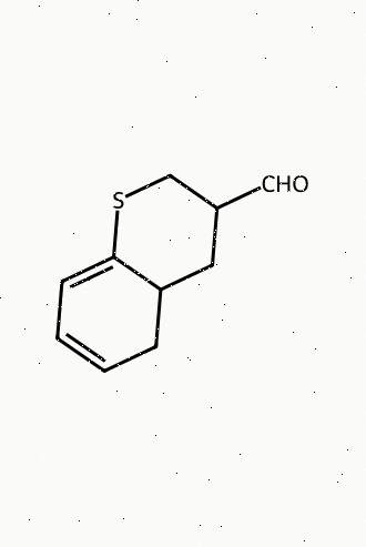 O=CC1CSC2=CC=CCC2C1